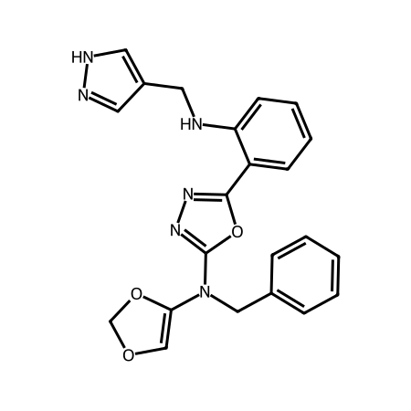 C1=C(N(Cc2ccccc2)c2nnc(-c3ccccc3NCc3cn[nH]c3)o2)OCO1